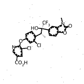 C[C@H](c1ccc(Oc2ncc(C(=O)O)cc2Cl)cc1Cl)[C@@](O)(c1ccc2oc(=O)n(C)c2c1)C(F)(F)F